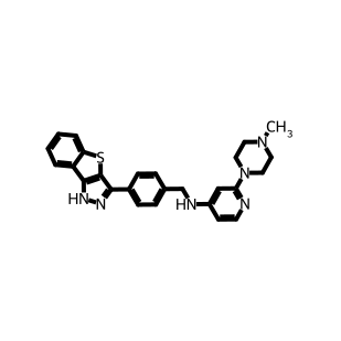 CN1CCN(c2cc(NCc3ccc(-c4n[nH]c5c4sc4ccccc45)cc3)ccn2)CC1